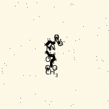 COC(=O)c1ccc(Cn2ccc([N+](=O)[O-])n2)o1